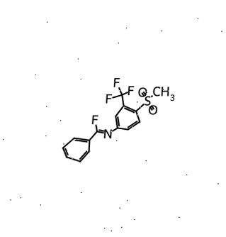 CS(=O)(=O)c1ccc(N=C(F)c2ccccc2)cc1C(F)(F)F